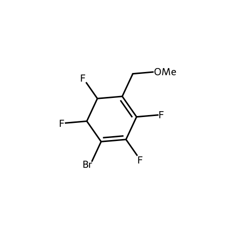 COCC1=C(F)C(F)=C(Br)C(F)C1F